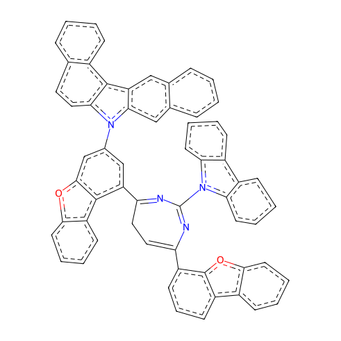 C1=C(c2cccc3c2oc2ccccc23)N=C(n2c3ccccc3c3ccccc32)N=C(c2cc(-n3c4cc5ccccc5cc4c4c5ccccc5ccc43)cc3oc4ccccc4c23)C1